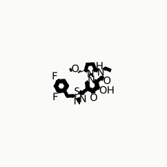 CCN1C(=O)c2c(O)c(=O)c(-c3nnc(Cc4ccc(F)cc4F)s3)cn2N2[C@H](COC)CC[C@@H]12